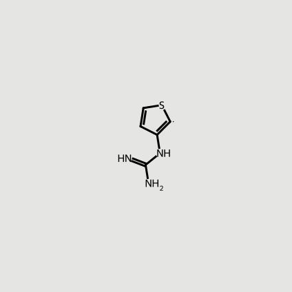 N=C(N)Nc1[c]scc1